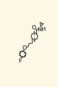 O=C(NC1CC1)N1CCN(CCCOc2ccc(F)cc2)CC1